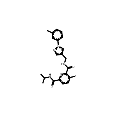 Cc1cccc(-n2cc(CNC(=O)c3nc(C(=O)NC(C)C)ccc3F)cn2)c1